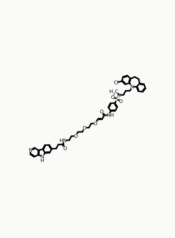 CN(CCCN1c2ccccc2CCc2ccc(Cl)cc21)S(=O)(=O)c1ccc(NC(=O)C=COCCOCCOCCNC(=O)CCc2ccc3c(c2)[nH]c2ccncc23)cc1